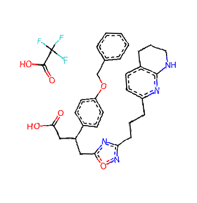 O=C(O)C(F)(F)F.O=C(O)CC(Cc1nc(CCCc2ccc3c(n2)NCCC3)no1)c1ccc(OCc2ccccc2)cc1